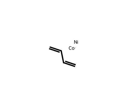 C=CC=C.[Co].[Ni]